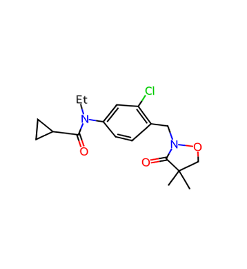 CCN(C(=O)C1CC1)c1ccc(CN2OCC(C)(C)C2=O)c(Cl)c1